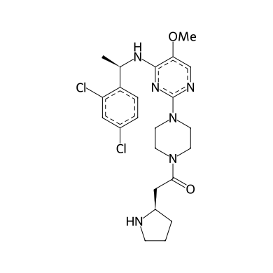 COc1cnc(N2CCN(C(=O)C[C@H]3CCCN3)CC2)nc1N[C@H](C)c1ccc(Cl)cc1Cl